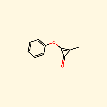 Cc1c(Oc2ccccc2)c1=O